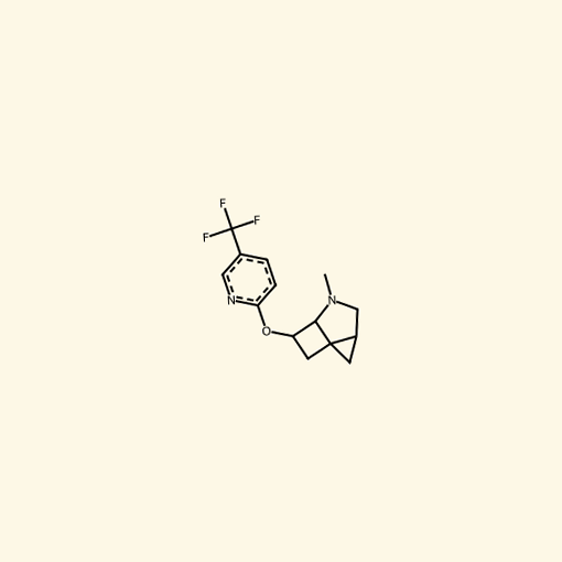 CN1CC2CC23CC(Oc2ccc(C(F)(F)F)cn2)C13